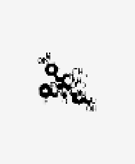 CN(C)Cc1c(-c2ccc([N+](=O)[O-])cc2)sc2c1c(=O)n(-c1ccc(C(=O)O)nn1)c(=O)n2Cc1c(F)cccc1F